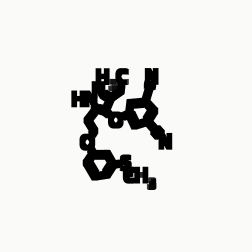 CCc1n[nH]c(CCOc2cccc(SC)c2)c1Oc1cc(C#N)cc(C#N)c1